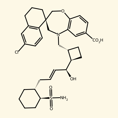 NS(=O)(=O)[C@H]1CCCC[C@@H]1C/C=C/[C@H](O)[C@@H]1CC[C@H]1CN1C[C@@]2(CCCc3cc(Cl)ccc32)COc2ccc(C(=O)O)cc21